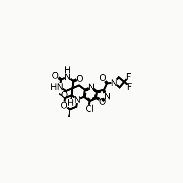 C[C@@H]1CN2c3c(nc4c(C(=O)N5CC(F)(F)C5)noc4c3Cl)CC3(C(=O)NC(=O)NC3=O)[C@H]2[C@H](C)O1